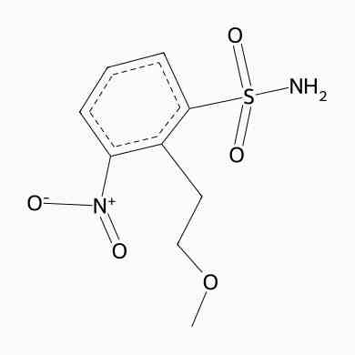 COCCc1c([N+](=O)[O-])cccc1S(N)(=O)=O